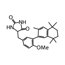 COc1ccc(CC2NC(=O)NC2=O)cc1-c1cc2c(cc1C)C(C)(C)CCC2(C)C